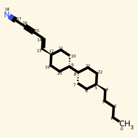 CCCCC[C@H]1CC[C@H]([C@H]2CC[C@H](/C=C/C#CC#N)CC2)CC1